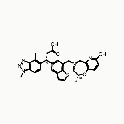 Cc1c([C@H](CC(=O)O)c2cc(CN3Cc4nc(O)ccc4O[C@H](C)C3)c3sccc3c2)ccc2c1nnn2C